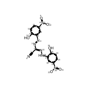 N#CC(N=Nc1cc([N+](=O)[O-])ccc1O)=NNc1cc([N+](=O)[O-])ccc1O